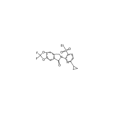 CCS(=O)(=O)c1ccc(C2CC2)nc1N1Cc2cc3c(cc2C1=O)OC(F)(F)O3